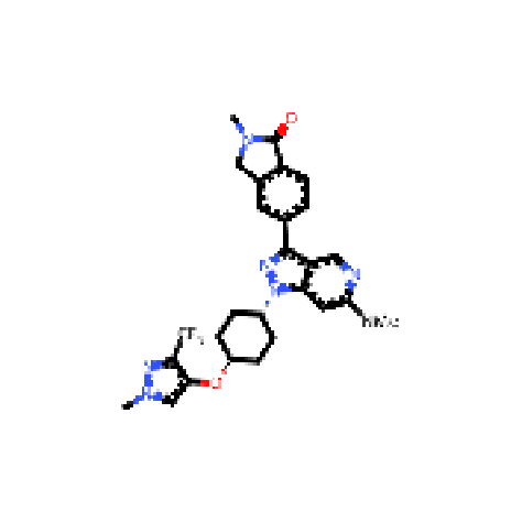 CNc1cc2c(cn1)c(-c1ccc3c(c1)CN(C)C3=O)nn2[C@H]1CC[C@@H](Oc2cn(C)nc2C(F)(F)F)CC1